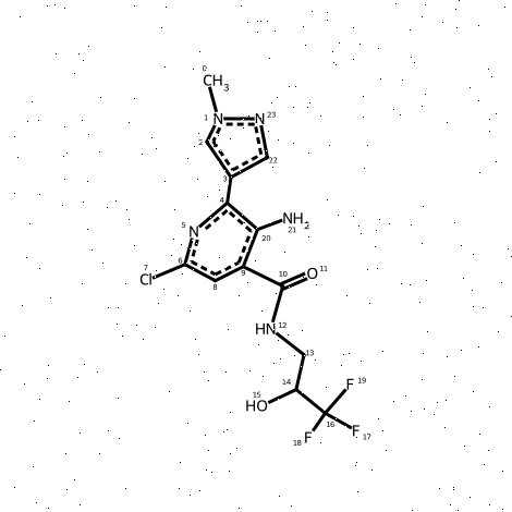 Cn1cc(-c2nc(Cl)cc(C(=O)NCC(O)C(F)(F)F)c2N)cn1